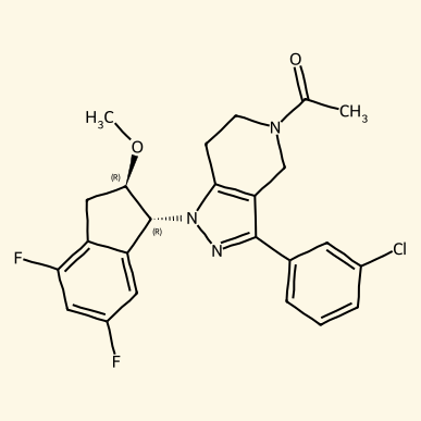 CO[C@@H]1Cc2c(F)cc(F)cc2[C@H]1n1nc(-c2cccc(Cl)c2)c2c1CCN(C(C)=O)C2